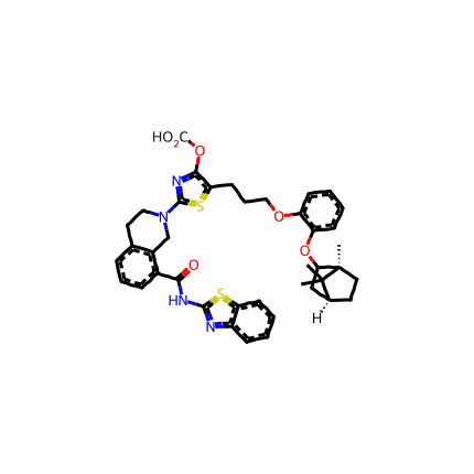 CC1(C)[C@H]2CC[C@]1(C)C(Oc1ccccc1OCCCc1sc(N3CCc4cccc(C(=O)Nc5nc6ccccc6s5)c4C3)nc1OC(=O)O)C2